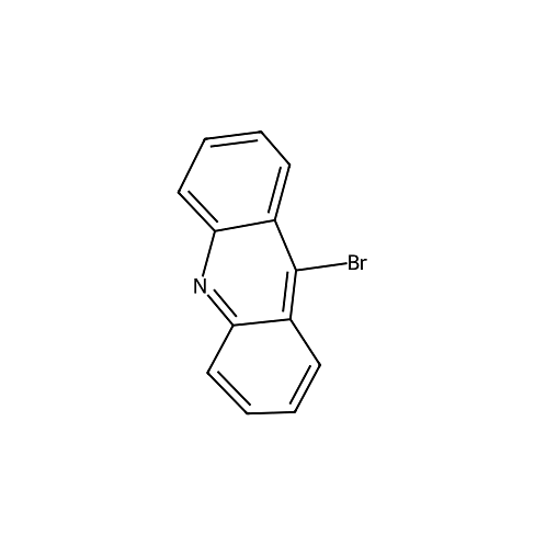 Brc1c2ccccc2nc2ccccc12